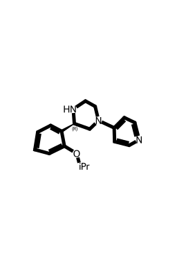 CC(C)Oc1ccccc1[C@@H]1CN(c2ccncc2)CCN1